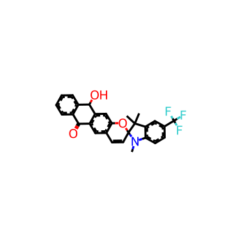 CN1c2ccc(C(F)(F)F)cc2C(C)(C)C12C=Cc1cc3c(cc1O2)C(O)c1ccccc1C3=O